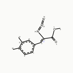 COC(=O)/C(=C/c1ccc(C)c(C)c1)N=[N+]=[N-]